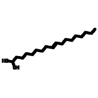 CCCCCCCCC=CCCCCCCCC(O)O